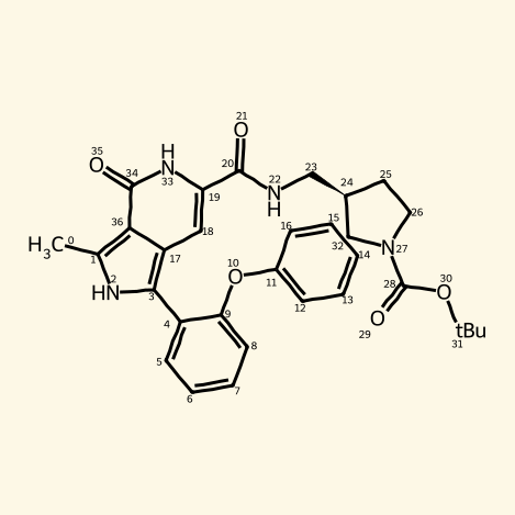 Cc1[nH]c(-c2ccccc2Oc2ccccc2)c2cc(C(=O)NC[C@H]3CCN(C(=O)OC(C)(C)C)C3)[nH]c(=O)c12